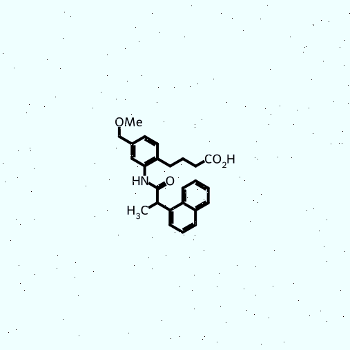 COCc1ccc(CCCC(=O)O)c(NC(=O)C(C)c2cccc3ccccc23)c1